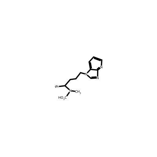 C[C](C)C(CCCn1cnc2ncccc21)N(C)C(=O)O